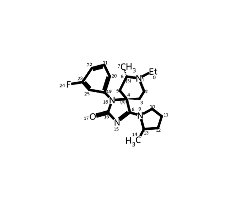 CCN1CC[C@@]2(C[C@@H]1C)C(N1CCCC1C)=NC(=O)N2c1cccc(F)c1